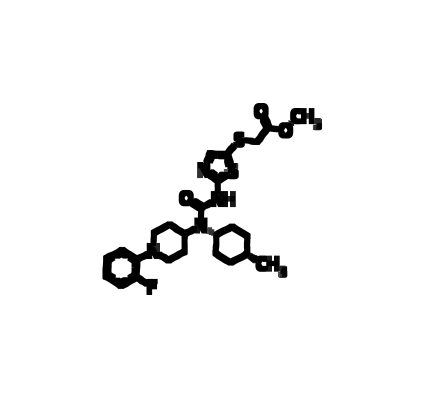 COC(=O)CSc1cnc(NC(=O)N(C2CCN(c3ccccc3F)CC2)[C@H]2CC[C@H](C)CC2)s1